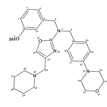 COc1cccc(CN(Cc2ccc(N3CCOCC3)cc2)c2nc(CN3CCCCC3)co2)c1